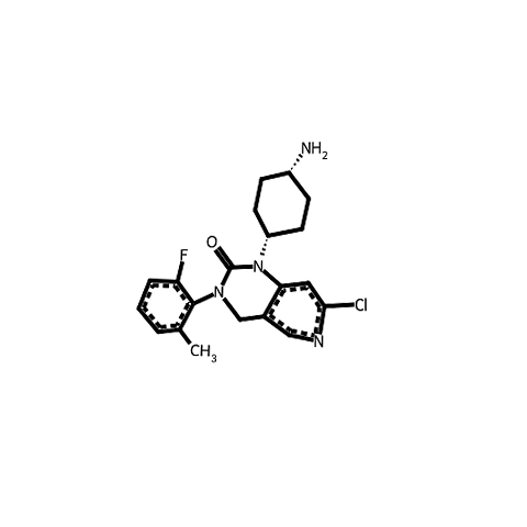 Cc1cccc(F)c1N1Cc2cnc(Cl)cc2N([C@H]2CC[C@@H](N)CC2)C1=O